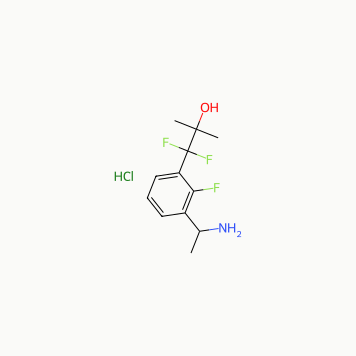 CC(N)c1cccc(C(F)(F)C(C)(C)O)c1F.Cl